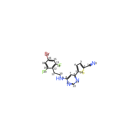 N#Cc1ccc(-c2cc(NCCc3c(F)cc(Br)cc3F)ncn2)s1